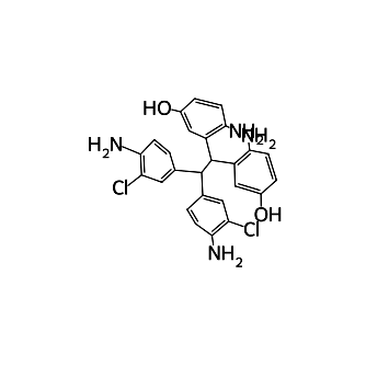 Nc1ccc(C(c2ccc(N)c(Cl)c2)C(c2cc(O)ccc2N)c2cc(O)ccc2N)cc1Cl